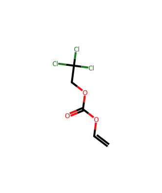 C=COC(=O)OCC(Cl)(Cl)Cl